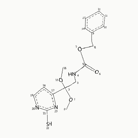 COC(CNC(=O)OCc1ccccc1)(OC)c1ccnc(S)n1